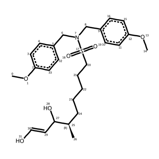 COc1ccc(CN(Cc2ccc(OC)cc2)S(=O)(=O)CCCCC[C@@H](C)C(O)C=CO)cc1